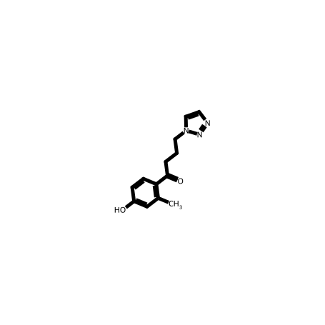 Cc1cc(O)ccc1C(=O)CCCn1ccnn1